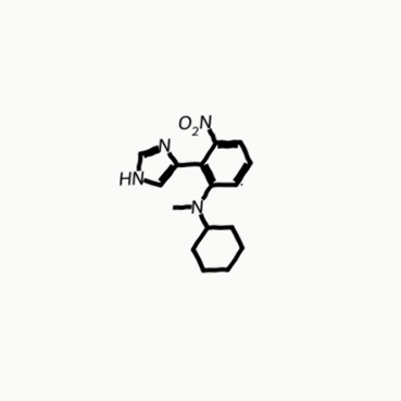 CN(c1[c]ccc([N+](=O)[O-])c1-c1c[nH]cn1)C1CCCCC1